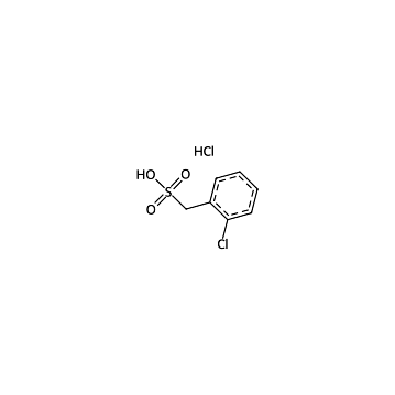 Cl.O=S(=O)(O)Cc1ccccc1Cl